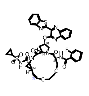 O=C(N[C@H]1CCCCC/C=C\[C@@H]2C[C@@]2(C(=O)NS(=O)(=O)C2CC2)NC(=O)[C@@H]2C[C@@H](Oc3nc4ccccc4nc3-c3nc4ccccc4s3)CN2C1=O)c1ccccc1F